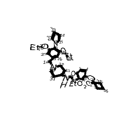 CCOC(=O)C1(Oc2ccc3oc(NC4CCN(Cc5cc(OCC)c(-n6cccc6)c(OCC)c5)CC4)nc3c2)CCC1